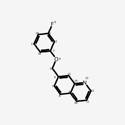 Fc1[c]c(OCc2ccc3cccnc3c2)ccc1